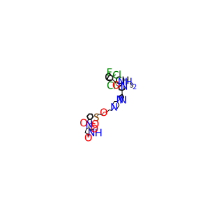 CC(Oc1cc(-c2cnn(C3CCN(CCCOCCSc4cccc5c4C(=O)N(C4CCC(=O)NC4=O)C5=O)CC3)c2)cnc1N)c1c(Cl)ccc(F)c1Cl